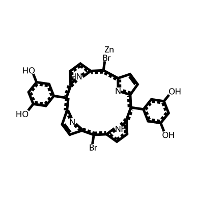 Oc1cc(O)cc(-c2c3nc(c(Br)c4ccc([nH]4)c(-c4cc(O)cc(O)c4)c4nc(c(Br)c5ccc2[nH]5)C=C4)C=C3)c1.[Zn]